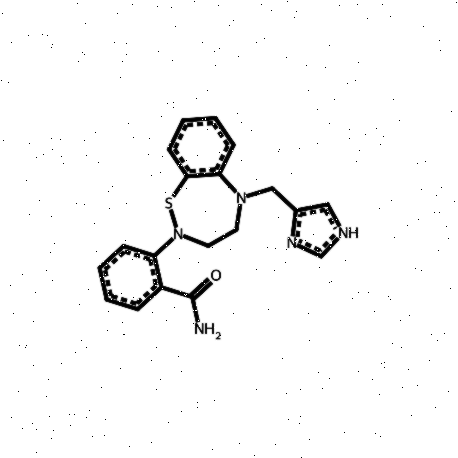 NC(=O)c1ccccc1N1CCN(Cc2c[nH]cn2)c2ccccc2S1